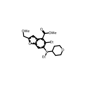 CCc1c(N(CC)C2CCOCC2)cc2oc(COC)cc2c1C(=O)OC